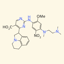 COc1cc(N(C)CCN(C)C)c([N+](=O)[O-])cc1Nc1ncc(C(=O)O)c(C2CN3CCCc4cccc2c43)n1